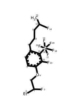 CCC(F)COc1ccc(CCCC(C)F)c(S(F)(F)(F)(F)F)c1F